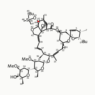 CC[C@@H](C)[C@H]1O[C@]2(C=C[C@@H]1C)C[C@@H]1C[C@@H](C/C=C(\C)[C@@H](O[C@H]3C[C@H](OC)C([C@H]4C[C@H](OC)[C@H](O)[C@H](C)O4)[C@H](C)O3)[C@@H](C)/C=C/C=C3\CO[C@@H]4[C@H](O[Si](C)(C)C(C)(C)C)C(C)=C[C@@H](C(=O)O1)[C@]34O)O2